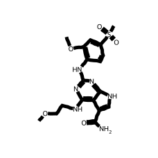 COCCNc1nc(Nc2ccc(S(C)(=O)=O)cc2OC)nc2[nH]cc(C(N)=O)c12